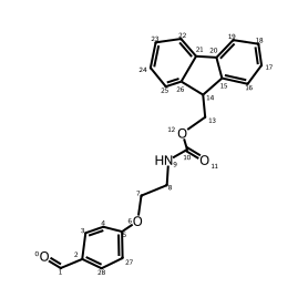 O=Cc1ccc(OCCNC(=O)OCC2c3ccccc3-c3ccccc32)cc1